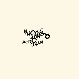 CC(=O)O[C@H]1[C@H](O[C@H]2O[C@H]([C@@H](C)NC(=O)OCc3ccccc3)CCC2N=[N+]=[N-])C(N=[N+]=[N-])CC(N=[N+]=[N-])[C@@H]1OC(C)=O